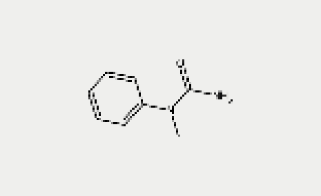 CN(C(N)=O)c1ccccc1